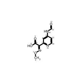 CON=C(C(=O)O)c1cc(NC=O)ccn1